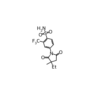 CCC1(C)CC(=O)N(c2ccc(S(N)(=O)=O)c(C(F)(F)F)c2)C1=O